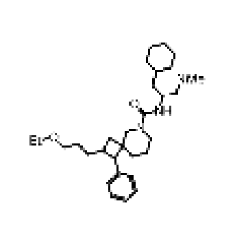 CCOCCCC1CC2(CCCN(C(=O)N[C@H](CNC)CC3CCCCC3)C2)C1c1ccccc1